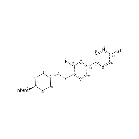 CCCCC[C@H]1CC[C@H](CCc2ccc(-c3ccc(CC)nn3)cc2F)CC1